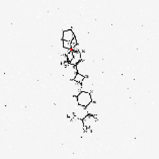 CCN1CC2CCC(C1)N2c1ncc(C2CN([C@H]3CC[C@@H](C(=O)C(C)C)CC3)C2)cn1